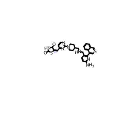 Nc1ccc(CNCC2CCN(c3nccc(/C=C4/SC(=O)NC4=O)n3)CC2)c(-c2cncc3ccccc23)n1